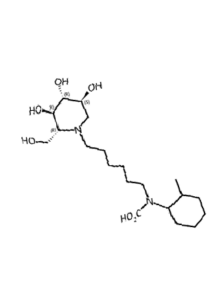 CC1CCCCC1N(CCCCCCN1C[C@H](O)[C@@H](O)[C@H](O)[C@H]1CO)C(=O)O